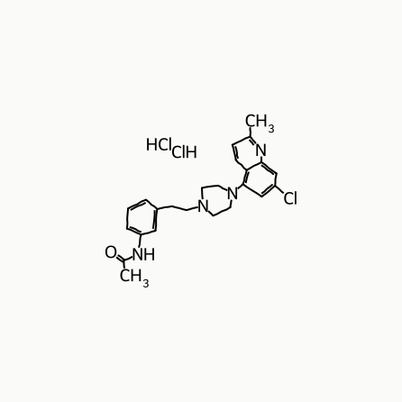 CC(=O)Nc1cccc(CCN2CCN(c3cc(Cl)cc4nc(C)ccc34)CC2)c1.Cl.Cl